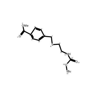 COC(=O)c1ccc(CSCCNC(=O)OC(C)(C)C)cc1